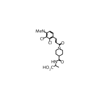 CNc1ccc(C=CC(=O)N2CCC(C(=O)NC(C)C(=O)O)CC2)c(Cl)c1Cl